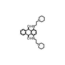 O=C1c2ccccc2C(=O)c2c(NCCN3CCCCC3)ccc(NCCN3CCCCC3)c21